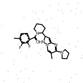 CC1=CN2NC(C3CCCCN3C(=O)c3ccc(C)c(F)c3F)C=C2N=C1N1CCCC1